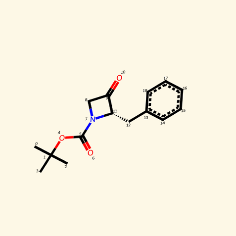 CC(C)(C)OC(=O)N1CC(=O)[C@@H]1Cc1ccccc1